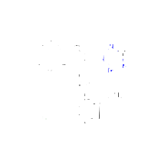 CC1=[C]([Zr+2][CH]2C(n3ncnn3)=Cc3ccccc32)CC=C1.[Cl-].[Cl-]